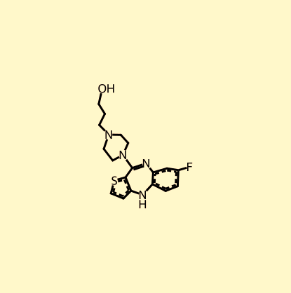 OCCCN1CCN(C2=Nc3cc(F)ccc3Nc3ccsc32)CC1